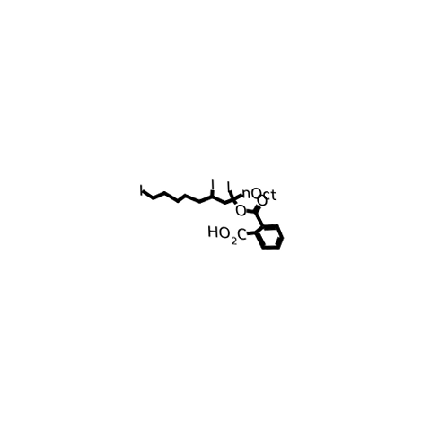 CCCCCCCCC(I)(CC(I)CCCCCI)OC(=O)c1ccccc1C(=O)O